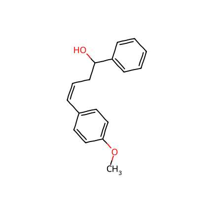 COc1ccc(/C=C\CC(O)c2ccccc2)cc1